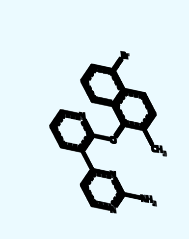 Cc1ccc2c(Br)cccc2c1Oc1ncccc1-c1ccnc(N)n1